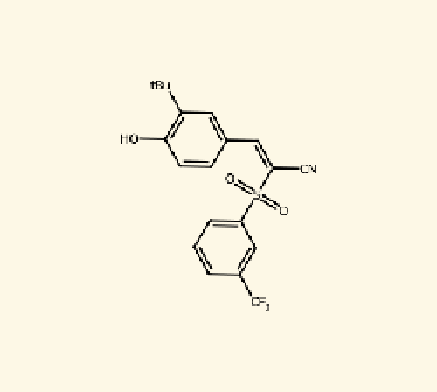 CC(C)(C)c1cc(C=C(C#N)S(=O)(=O)c2cccc(C(F)(F)F)c2)ccc1O